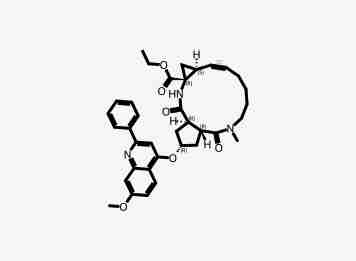 CCOC(=O)[C@@]12C[C@H]1/C=C\CCCCN(C)C(=O)[C@@H]1C[C@H](Oc3cc(-c4ccccc4)nc4cc(OC)ccc34)C[C@H]1C(=O)N2